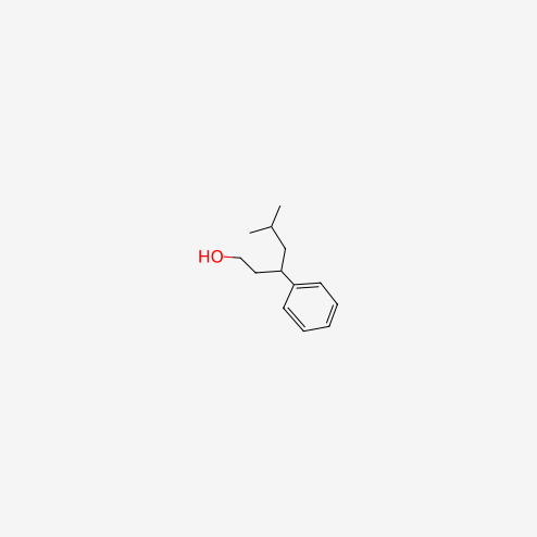 CC(C)CC(CCO)c1ccccc1